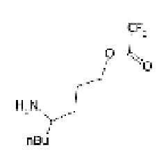 CCCCC(N)CCCOC(=O)C(F)(F)F